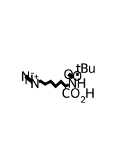 CC(C)(C)OC(=O)N[C@@H](CCCCCN=[N+]=[N-])C(=O)O